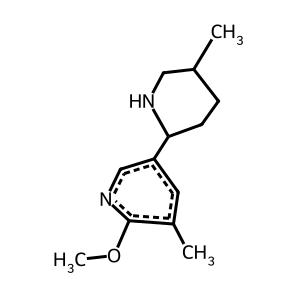 COc1ncc(C2CCC(C)CN2)cc1C